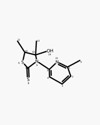 Cc1cccc(N2C(=S)SC(C)C2(C)O)n1